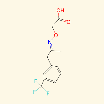 C/C(Cc1cccc(C(F)(F)F)c1)=N\OCC(=O)O